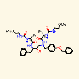 COCCNC(=O)N[C@H](C(=O)NC(Cc1ccccc1)C(O)CN(Cc1ccc(OCc2ccccc2)cc1)NC(=O)[C@@H](NC(=O)NCCOC)C(C)C)C(C)C